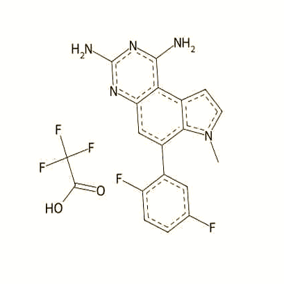 Cn1ccc2c3c(N)nc(N)nc3cc(-c3cc(F)ccc3F)c21.O=C(O)C(F)(F)F